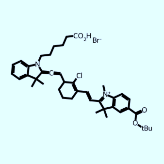 C[N+]1=C(/C=C/C2=C(Cl)C(C=C=C3N(CCCCCC(=O)O)c4ccccc4C3(C)C)CCC2)C(C)(C)c2cc(C(=O)OC(C)(C)C)ccc21.[Br-]